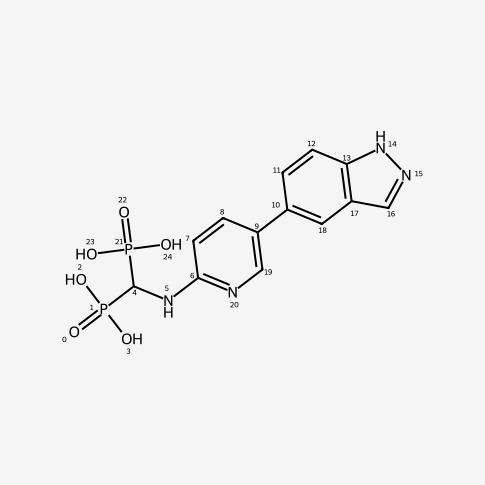 O=P(O)(O)C(Nc1ccc(-c2ccc3[nH]ncc3c2)cn1)P(=O)(O)O